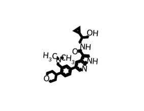 CN(C)Cc1cc(-c2cnc3[nH]cc(C(=O)NCC(CO)C4CC4)c3c2)ccc1C1CCOCC1